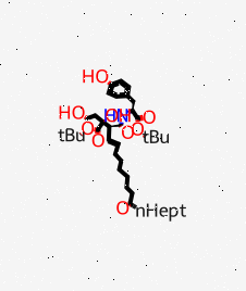 CCCCCCCC(=O)CCCCCC/C=C/[C@H](C(=O)N[C@@H](Cc1ccc(O)cc1)C(=O)OC(C)(C)C)[C@@](O)(CCO)C(=O)OC(C)(C)C